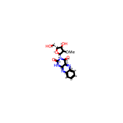 COC1C(O)[C@@H](CO)O[C@H]1n1c(=O)[nH]c2nc3ccccc3nc2c1=O